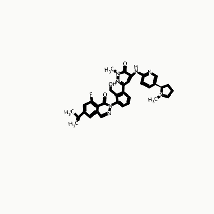 C=C(C)c1cc(F)c2c(=O)n(-c3cccc(-c4cc(Nc5ccc([C@H]6CCCN6C)cn5)c(=O)n(C)n4)c3CO)ncc2c1